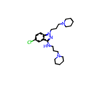 Clc1ccc2c(c1)c(NCCCN1CCCCC1)nn2CCCN1CCCCC1